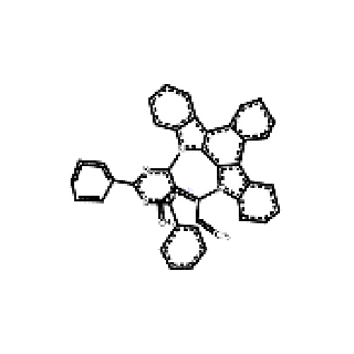 C=C/C=C(\C=C)n1c2ccccc2c2c3ccccc3c3c4ccccc4n(-c4nc(C5=C=C=CC=C5)nc(-c5ccccc5)n4)c3c21